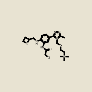 Cc1nnc(-c2ccc(NCC3CCO3)c(NC(=O)CCl)c2)n1COCC[Si](C)(C)C